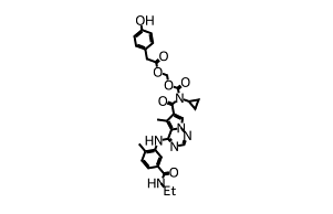 CCNC(=O)c1ccc(C)c(Nc2ncnn3cc(C(=O)N(C(=O)OCOC(=O)Cc4ccc(O)cc4)C4CC4)c(C)c23)c1